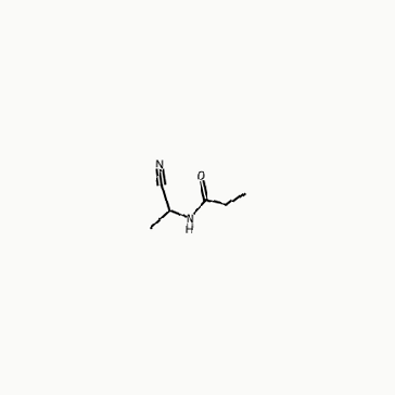 CCC(=O)NC(C)C#N